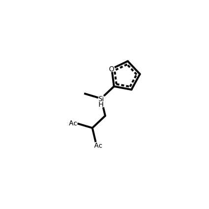 CC(=O)C(C[SiH](C)c1ccco1)C(C)=O